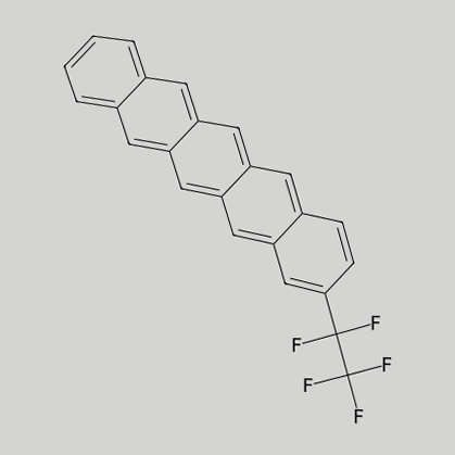 FC(F)(F)C(F)(F)c1ccc2cc3cc4cc5ccccc5cc4cc3cc2c1